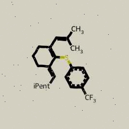 CCCC(C)/C=C1\CCCC(C=C(C)C)=C1Sc1ccc(C(F)(F)F)cc1